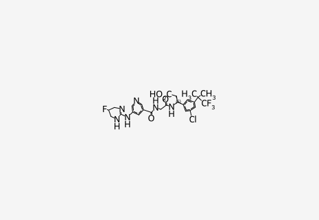 CC(C)(c1cc(Cl)cc([C@H](CC(=O)O)NC(=O)CNC(=O)c2cncc(NC3=NCC(F)CN3)c2)c1)C(F)(F)F